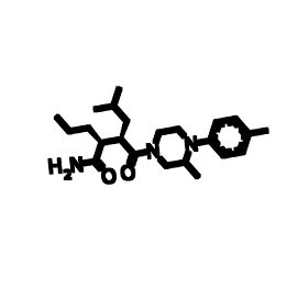 CCC[C@H](C(N)=O)[C@@H](CC(C)C)C(=O)N1CCN(c2ccc(C)cc2)C(C)C1